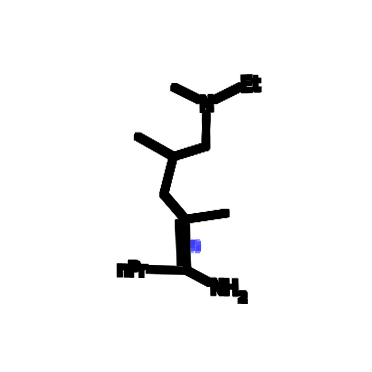 CCC/C(N)=C(/C)CC(C)CN(C)CC